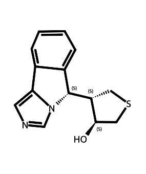 O[C@@H]1CSC[C@H]1[C@H]1c2ccccc2-c2cncn21